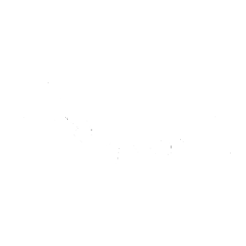 CCCCN(CCCC)c1ccc(/C=C/C(=O)/C=C/c2ccc(N(CCCC)CCCC)cc2)cc1